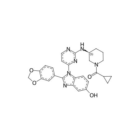 O=C(C1CC1)N1CCC[C@H](Nc2nccc(-n3c(-c4ccc5c(c4)OCO5)nc4cc(O)ccc43)n2)C1